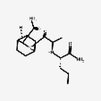 CCC[C@H](NC(C)C(=O)N1C2CCC(CC2)[C@H]1C(N)=O)C(N)=O